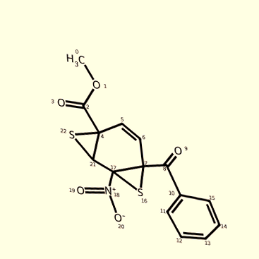 COC(=O)C12C=CC3(C(=O)c4ccccc4)SC3([N+](=O)[O-])C1S2